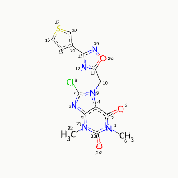 Cn1c(=O)c2c(nc(Cl)n2Cc2nc(-c3ccsc3)no2)n(C)c1=O